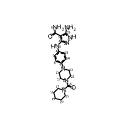 NC(=O)c1c(Nc2ccc(N3CCN(C(=O)N4CCCCC4)CC3)cc2)n[nH]c1N